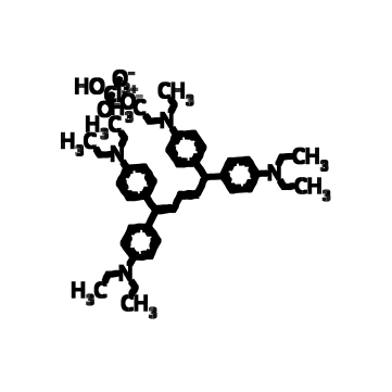 CCN(CC)c1ccc(C(=C/C=C/C(c2ccc(N(CC)CC)cc2)c2ccc(N(CC)CC)cc2)c2ccc(N(CC)CC)cc2)cc1.[O-][Cl+3]([O-])([O-])O